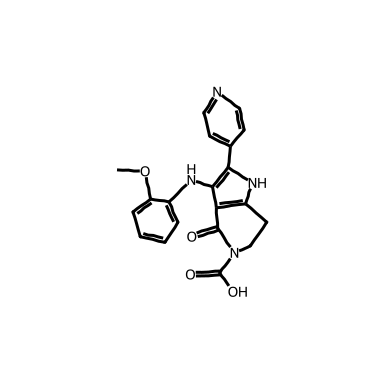 COc1ccccc1Nc1c(-c2ccncc2)[nH]c2c1C(=O)N(C(=O)O)CC2